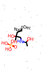 CCCCCCCCCCCCC(C)(O)CNC(C)O.O=P(O)(O)O.[NaH]